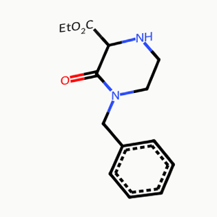 CCOC(=O)C1NCCN(Cc2ccccc2)C1=O